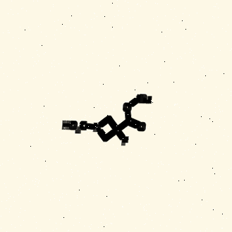 CC(C)(C)OC(=O)C1(F)CN(C(=O)O)C1